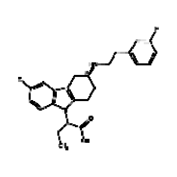 CCC(C(=O)O)n1c2c(c3cc(F)ccc31)C[C@@H](NCCc1cccc(F)c1)CC2